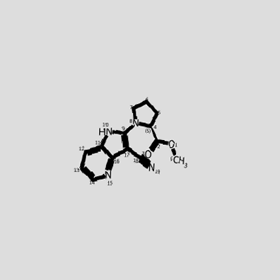 COC(=O)[C@@H]1CCCN1c1[nH]c2cccnc2c1C#N